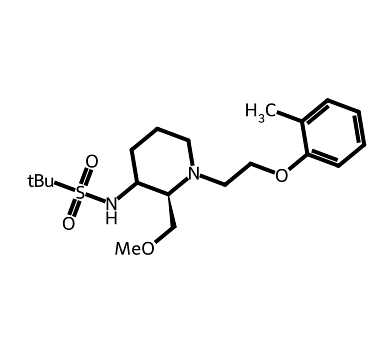 COC[C@H]1C(NS(=O)(=O)C(C)(C)C)CCCN1CCOc1ccccc1C